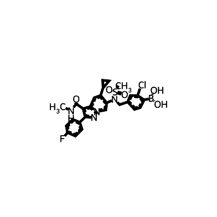 CNC(=O)c1c(-c2ccc(F)cc2)nn2cc(N(Cc3ccc(B(O)O)c(Cl)c3)S(C)(=O)=O)c(C3CC3)cc12